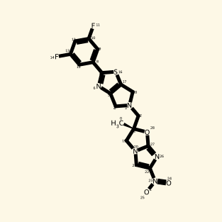 C[C@]1(CN2Cc3nc(-c4cc(F)cc(F)c4)sc3C2)Cn2cc([N+](=O)[O-])nc2O1